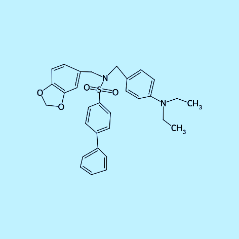 CCN(CC)c1ccc(CN(Cc2ccc3c(c2)OCO3)S(=O)(=O)c2ccc(-c3ccccc3)cc2)cc1